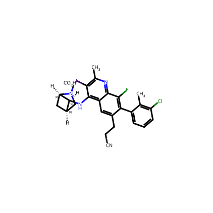 Cc1nc2c(F)c(-c3cccc(Cl)c3C)c(CCC#N)cc2c(N[C@H]2[C@@H]3C[C@H]2N(C(=O)O)C3)c1I